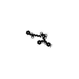 O=C(CCCCCCN1C(=O)CS(=O)(=O)C1CCC(COc1ccc(F)cc1)OCc1ccccc1)OCc1ccccc1